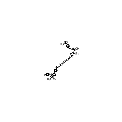 CC(=O)N1c2ccc(-c3ccc(C(=O)CNCCOCCOCCOCCOCC(=O)N[C@H](C(=O)N4C[C@H](O)C[C@H]4C(=O)NCc4ccc(-c5scnc5C)cc4)C(C)(C)C)cc3)cc2[C@H](Nc2ccc(Cl)cc2)C[C@@H]1C